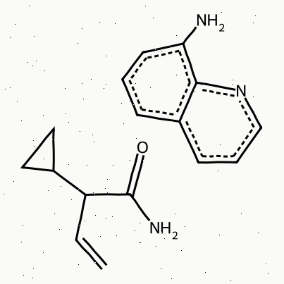 C=CC(C(N)=O)C1CC1.Nc1cccc2cccnc12